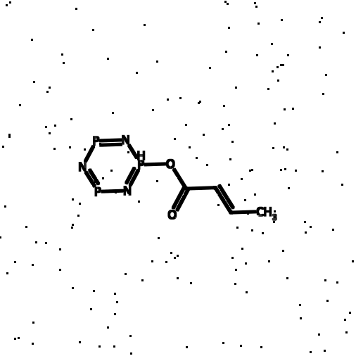 C/C=C/C(=O)O[PH]1=NP=NP=N1